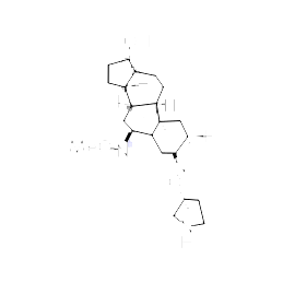 CO/N=C1\C[C@H]2[C@@H]3CC[C@H](O)[C@@]3(C)CC[C@@H]2[C@@]2(C)C[C@@H](F)C(=NO[C@@H]3CCNC3)CC12